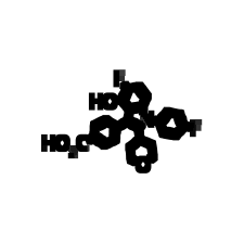 O=C(O)c1ccc(-c2c(C3CCOCC3)n(-c3ccc(F)cc3)c3ccc(F)c(O)c23)cc1